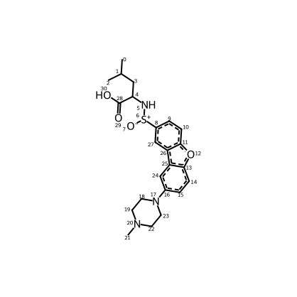 CC(C)CC(N[S+]([O-])c1ccc2oc3ccc(N4CCN(C)CC4)cc3c2c1)C(=O)O